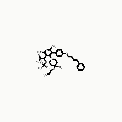 C=CCOC1(C)CCN(c2c(-c3ccc(OCCC=Cc4ccccc4)cc3)c(C)nc(C)c2C(OC(C)(C)C)C(=O)O)CC1